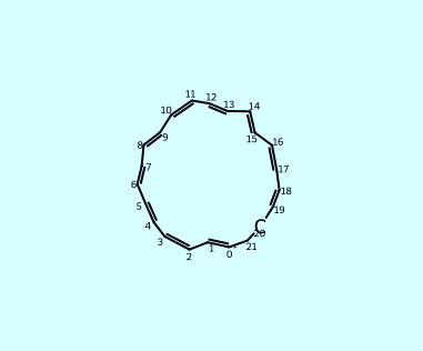 [C]1=C/C=C\C=C\C=C\C=C\C=C/C=C/C=C/C=C/C=C\CC/1